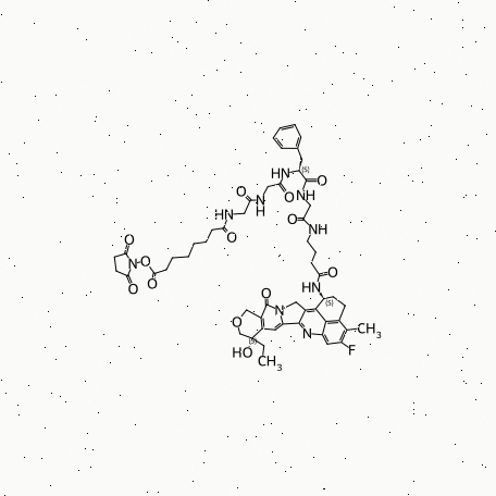 CC[C@@]1(O)COCc2c1cc1n(c2=O)Cc2c-1nc1cc(F)c(C)c3c1c2[C@@H](NC(=O)CCCNC(=O)CNC(=O)[C@H](Cc1ccccc1)NC(=O)CNC(=O)CNC(=O)CCCCCCC(=O)ON1C(=O)CCC1=O)CC3